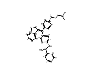 CN(C)CCOc1ccc(C(=C2CCc3ccccc32)c2ccc(OC(=O)c3ccccc3)cc2)cc1